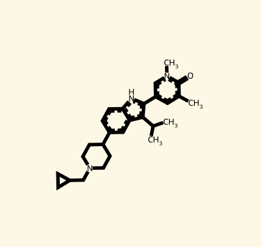 Cc1cc(-c2[nH]c3ccc(C4CCN(CC5CC5)CC4)cc3c2C(C)C)cn(C)c1=O